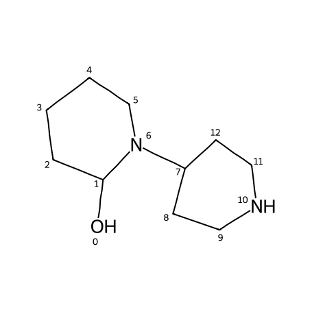 OC1CCCCN1C1CCNCC1